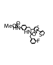 COS(=O)Nc1ccc(C[C@H](NC(=O)Cc2cccc(F)c2)c2csc(C3=CCCS3)n2)cc1